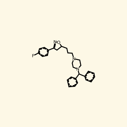 Fc1ccc(C2=NOC(CCCN3CCN(C(c4ccccc4)c4ccccc4)CC3)C2)cc1